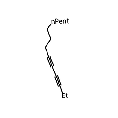 [CH2]CC#CC#CCCCCCCCC